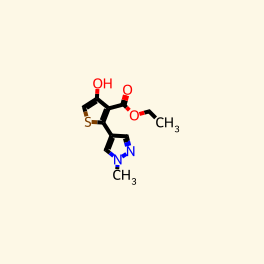 CCOC(=O)c1c(O)csc1-c1cnn(C)c1